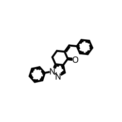 O=C1C(=Cc2ccccc2)CCc2c1cnn2-c1ccccc1